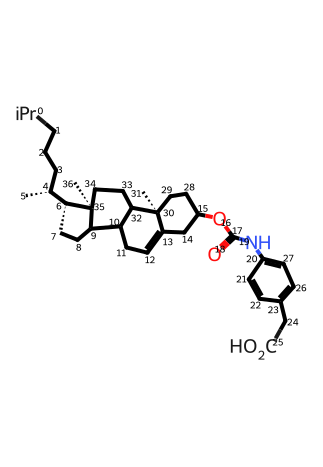 CC(C)CCC[C@@H](C)[C@H]1CCC2C3CC=C4CC(OC(=O)Nc5ccc(CC(=O)O)cc5)CC[C@]4(C)C3CC[C@@]21C